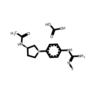 CC(=O)N[C@@H]1CCN(c2ccc(NC(N)=NF)cc2)C1.O=C(O)O